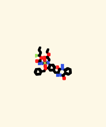 CCCC(F)OC(=O)NS(=O)(=O)N(CC(=O)OCC)c1ccc(CC2NC(=O)c3ccccc3NC2=O)cc1OCc1ccccc1